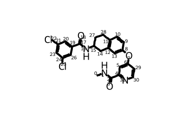 CNC(=O)c1cc(Oc2ccc3c(c2)CC(NC(=O)c2cc(Cl)cc(Cl)c2)CC3)ccn1